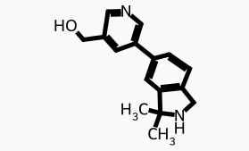 CC1(C)NCc2ccc(-c3cncc(CO)c3)cc21